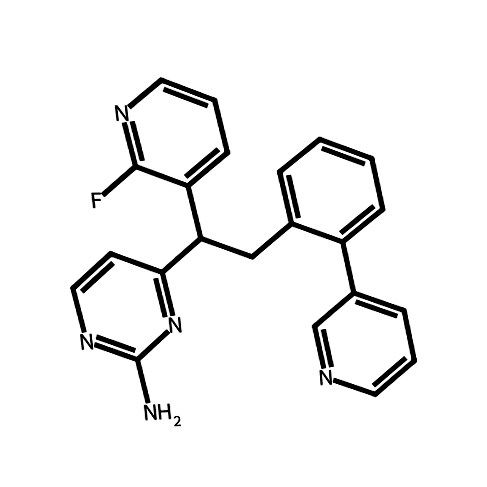 Nc1nccc(C(Cc2ccccc2-c2cccnc2)c2cccnc2F)n1